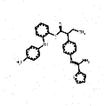 CCC(C(=O)Nc1ccccc1Nc1ccc(C)cc1)c1ccc(/N=C(\N)c2cccs2)cc1